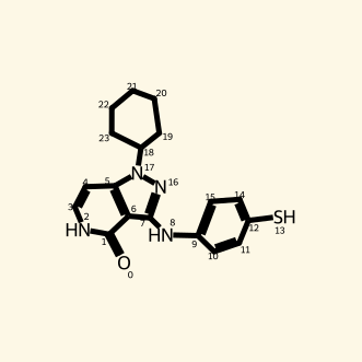 O=c1[nH]ccc2c1c(Nc1ccc(S)cc1)nn2C1CCCCC1